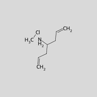 C=CCC(N)CC=C.CCl